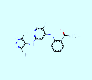 CCc1[nH]nc(C)c1Nc1cc(Nc2ccccc2C(=O)NC)c(C(F)(F)F)cn1